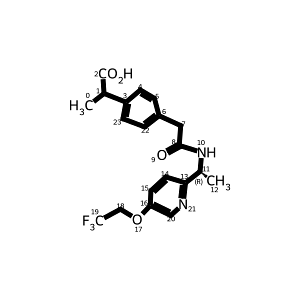 CC(C(=O)O)c1ccc(CC(=O)N[C@H](C)c2ccc(OCC(F)(F)F)cn2)cc1